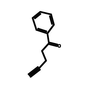 C#CCCC(=O)c1ccccc1